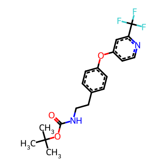 CC(C)(C)OC(=O)NCCc1ccc(Oc2ccnc(C(F)(F)F)c2)cc1